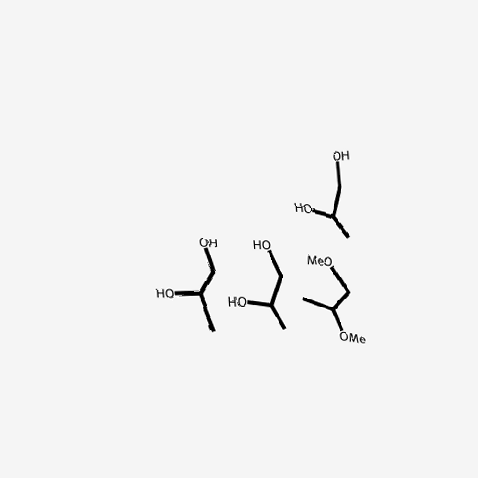 CC(O)CO.CC(O)CO.CC(O)CO.COCC(C)OC